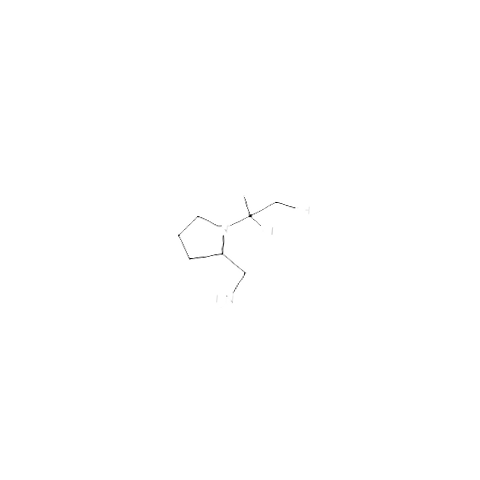 CC(C)(CO)N1CCCC1CN